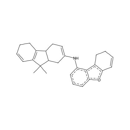 CC1(C)C2=C(CCC=C2)C2CC=C(Nc3cccc4oc5c(c34)CCC=C5)CC21